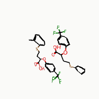 Cc1ccccc1SCCC(Oc1ccc(C(F)(F)F)cc1)C(=O)O.O=C(O)C(CCSc1ccccc1)Oc1ccc(C(F)(F)F)cc1